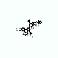 Cn1cc(C(F)(F)F)nc1-c1cc(C#N)ccc1-c1cc(C2CC2)nc(-n2cc(C3CC3)c3cc(CNC4(C)CCC4)[nH]c3c2=O)c1